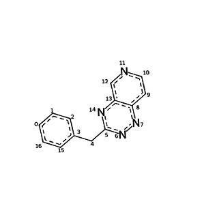 c1ccc(Cc2nnc3ccncc3n2)cc1